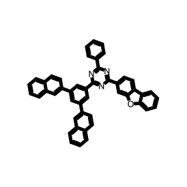 c1ccc(-c2nc(-c3cc(-c4ccc5ccccc5c4)cc(-c4ccc5ccccc5c4)c3)nc(-c3ccc4c(c3)oc3ccccc34)n2)cc1